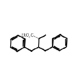 CCOC(=O)[C@H](C)C(Cc1ccccc1)Cc1ccccc1